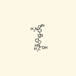 CC(C)Oc1ccc(-c2ncc(-c3cccc4c3CCC4N[C@H](C)CO)s2)cc1N